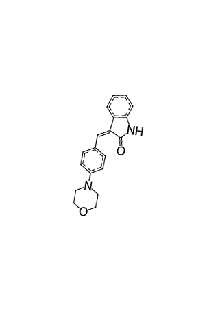 O=C1Nc2ccccc2C1=Cc1ccc(N2CCOCC2)cc1